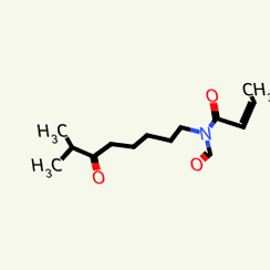 C/C=C\C(=O)N(C=O)CCCCCC(=O)C(C)C